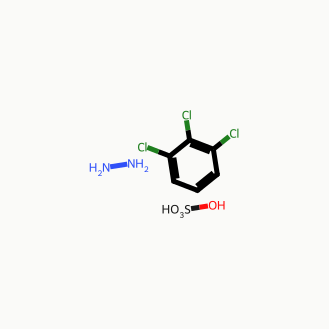 Clc1cccc(Cl)c1Cl.NN.O=S(=O)(O)O